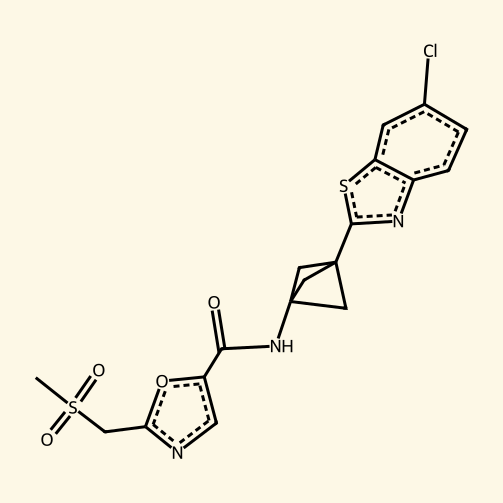 CS(=O)(=O)Cc1ncc(C(=O)NC23CC(c4nc5ccc(Cl)cc5s4)(C2)C3)o1